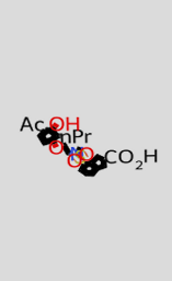 CCCc1c(OCCN(C)S(=O)(=O)c2cccc3c2CC(C(=O)O)C3)ccc(C(C)=O)c1O